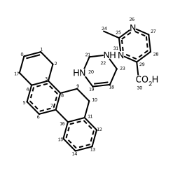 C1=CCc2c(ccc3c2CCc2ccccc2-3)C1.C1=CNCNC1.Cc1nccc(C(=O)O)n1